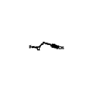 C#CCOF